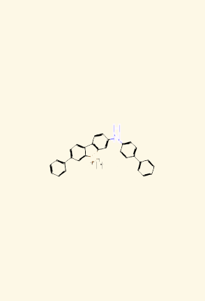 CS1(C)c2cc(Nc3ccc(-c4ccccc4)cc3)ccc2-c2ccc(-c3ccccc3)cc21